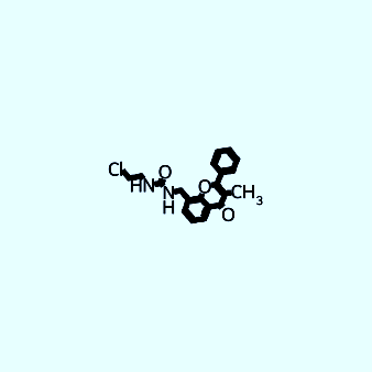 Cc1c(-c2ccccc2)oc2c(CNC(=O)NCCCl)cccc2c1=O